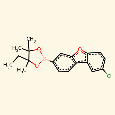 CCC1(C)OB(c2ccc3c(c2)oc2ccc(Cl)cc23)OC1(C)C